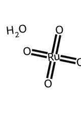 O.[O]=[Ru](=[O])(=[O])=[O]